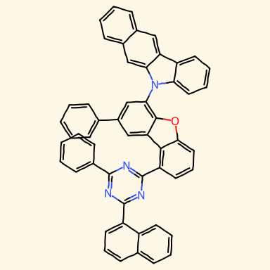 c1ccc(-c2cc(-n3c4ccccc4c4cc5ccccc5cc43)c3oc4cccc(-c5nc(-c6ccccc6)nc(-c6cccc7ccccc67)n5)c4c3c2)cc1